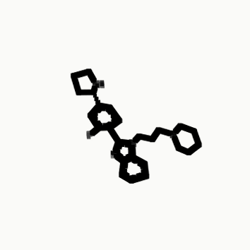 Fc1cc([C@@H]2CCCN2)ccc1-c1nc2ccccc2n1CCCN1CCCCC1